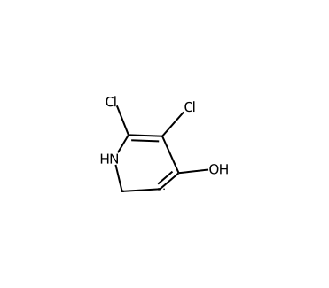 OC1=[C]CNC(Cl)=C1Cl